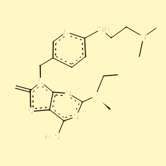 CC[P@@](C)c1nc(N)c2[nH]c(=O)n(Cc3ccc(NCCN(C)C)nc3)c2n1